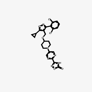 O=c1[nH]c(-c2ncc(N3CCC(OCc4c(-c5c(Cl)cccc5Cl)noc4C4CC4)CC3)cn2)no1